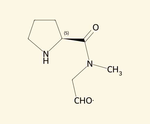 CN(C[C]=O)C(=O)[C@@H]1CCCN1